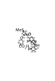 CS[C@H]1C[C@@H](CO[C@H]2CC[C@H](C(=O)O)CC2)N(C(=O)Cc2ccc3nc(Nc4cc(F)ccc4C)oc3c2F)C1